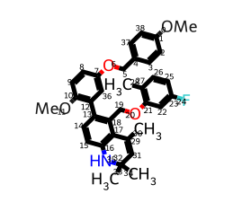 COc1ccc(COc2ccc(OC)c(-c3ccc4c(c3COc3cc(F)ccc3C)C(C)=CC(C)(C)N4)c2)cc1